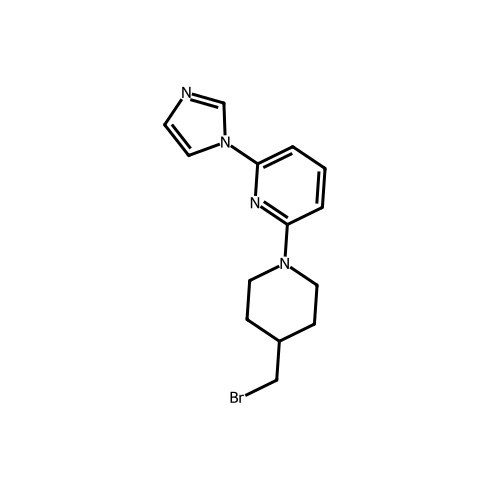 BrCC1CCN(c2cccc(-n3ccnc3)n2)CC1